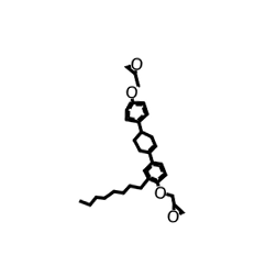 CCCCCCCCc1cc(C2=CCC(c3ccc(OCC4CO4)cc3)CC2)ccc1OCC1CO1